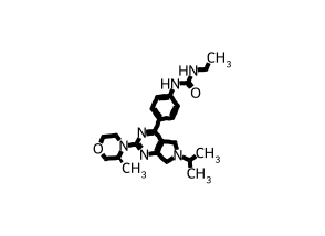 CCNC(=O)Nc1ccc(-c2nc(N3CCOC[C@@H]3C)nc3c2CN(C(C)C)C3)cc1